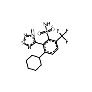 NS(=O)(=O)c1c(C(F)(F)F)ccc(C2CCCCC2)c1-c1nnn[nH]1